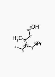 CC(C)CN(CI)C(C)CCO